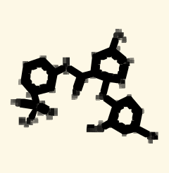 COc1cc(C#N)ccc1Oc1nnc(C(F)(F)F)cc1C(=O)Nc1cccc([S@](C)(=N)=O)c1